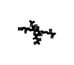 CC(=O)NCCCC[C@H](NC(=S)[C@H](C)NC(C)=O)C(=O)N[C@@H](CCC(=O)C=N)C(=O)OC(C)C